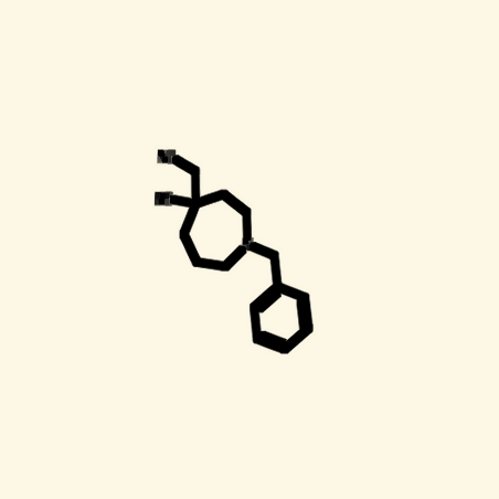 N#CCC1(C#N)CCCN(Cc2ccccc2)CC1